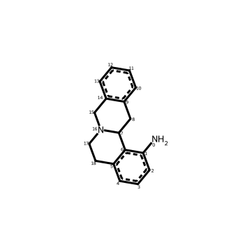 Nc1cccc2c1C1Cc3ccccc3CN1CC2